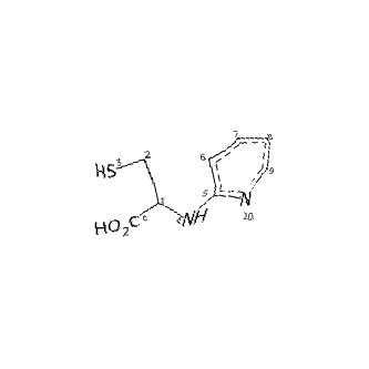 O=C(O)C(CS)Nc1ccccn1